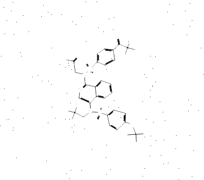 O=C(O)CN(c1ncc(N(CC(F)(F)F)S(=O)(=O)c2ccc(OC(F)(F)F)cc2)c2ccccc12)S(=O)(=O)c1ccc(C(=O)C(F)(F)F)cc1